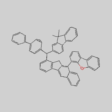 CC1(C)c2ccccc2-c2ccc(C(c3ccc(-c4ccccc4)cc3)c3cccc4c3Cc3c-4cc4ccccc4c3-c3cccc4c3oc3ccccc34)cc21